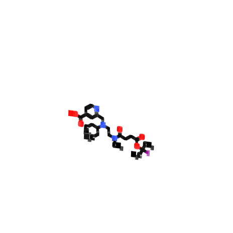 CCC(CC)N(CCN(C)C(=O)CCC(=O)OC(C)(C)I)Cc1cc(C(=O)O)ccn1